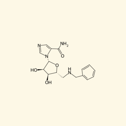 NC(=O)c1cncn1[C@@H]1O[C@H](CNCc2ccccc2)[C@@H](O)[C@H]1O